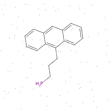 PCCCc1c2ccccc2cc2ccccc12